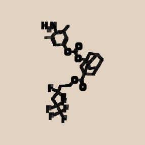 Cc1cc(OC(=O)OC23CC4CC(C2)CC(C(=O)OCCC(F)(F)CC(F)(F)C(F)(F)F)(C4)C3)cc(C)c1N